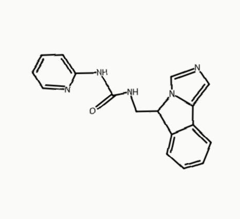 O=C(NCC1c2ccccc2-c2cncn21)Nc1ccccn1